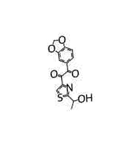 CC(O)c1nc(C(=O)C(=O)c2ccc3c(c2)OCO3)cs1